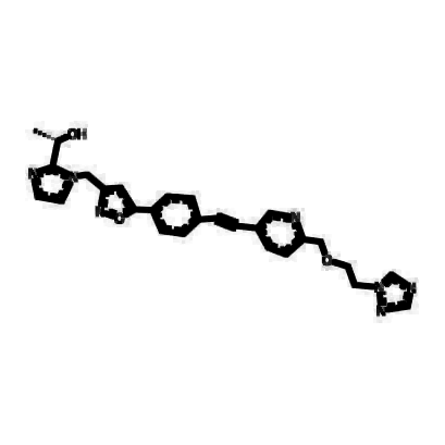 C[C@H](O)c1nccn1Cc1cc(-c2ccc(C#Cc3ccc(COCCn4cncn4)nc3)cc2)on1